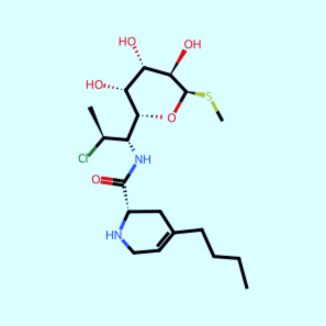 CCCCC1=CCN[C@H](C(=O)N[C@@H]([C@H]2O[C@H](SC)[C@H](O)[C@@H](O)[C@H]2O)[C@H](C)Cl)C1